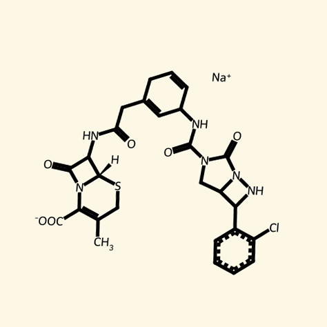 CC1=C(C(=O)[O-])N2C(=O)C(NC(=O)CC3=CC(NC(=O)N4CC5C(c6ccccc6Cl)NN5C4=O)C=CC3)[C@@H]2SC1.[Na+]